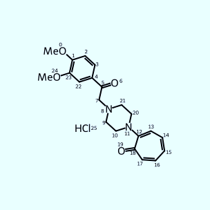 COc1ccc(C(=O)CN2CCN(c3cccccc3=O)CC2)cc1OC.Cl